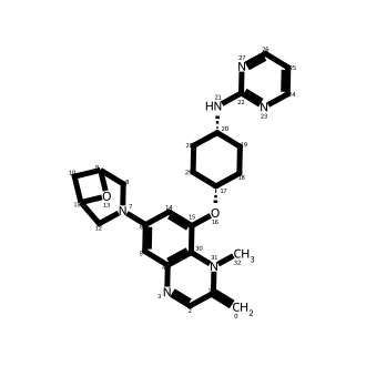 C=C1C=Nc2cc(N3CC4CC(C3)O4)cc(O[C@H]3CC[C@@H](Nc4ncccn4)CC3)c2N1C